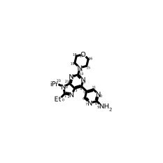 CCc1nc2c(-c3cnc(N)nc3)nc(N3CCOCC3)nc2n1C(C)C